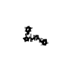 O=C(N[C@H]1CCC[C@@H]1OCc1ccccc1)c1nnc(NCc2ccccc2)o1